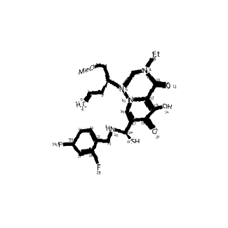 C=CC[C@@H](COC)N1CN(CC)C(=O)c2c(O)c(=O)c([C@@H](S)NCC3=CCC(F)C=C3F)cn21